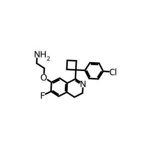 NCCOc1cc2c(cc1F)CCN=C2C1(c2ccc(Cl)cc2)CCC1